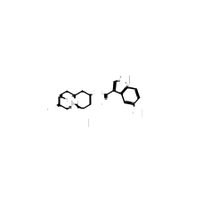 Cc1ccc2[nH]cc(C(=O)OC3CC4CC5CC(C3)N4CC5=O)c2c1.Cl